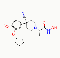 COc1ccc(C2(C#N)CCN([C@H](C)C(=O)NO)CC2)cc1OC1CCCC1